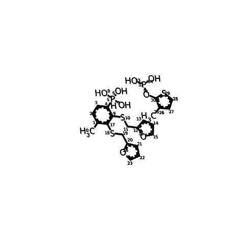 Cc1ccc([PH](O)(O)O)c(SCc2ccco2)c1SCc1ccco1.Cc1ccsc1OP(O)O